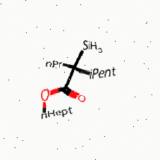 CCCCCCCOC(=O)C([SiH3])(CCC)C(C)CCC